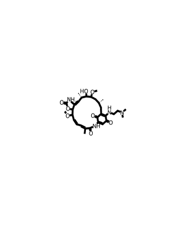 COC1/C=C\C=C(/C)C(=O)NC2=CC(=O)C(NCCN(C)C)=C(C[C@@H](C)CC(OC)C(O)[C@@H](C)/C=C(\C)C1OC(N)=O)C2=O